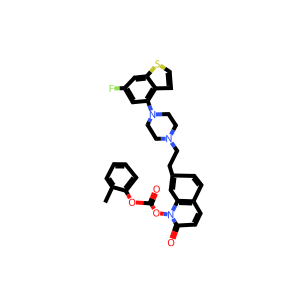 Cc1ccccc1OC(=O)On1c(=O)ccc2ccc(CCN3CCN(c4cc(F)cc5sccc45)CC3)cc21